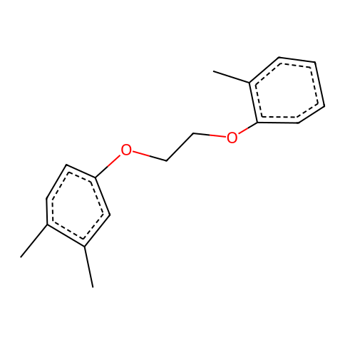 Cc1ccc(OCCOc2ccccc2C)cc1C